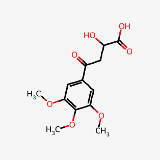 COc1cc(C(=O)CC(O)C(=O)O)cc(OC)c1OC